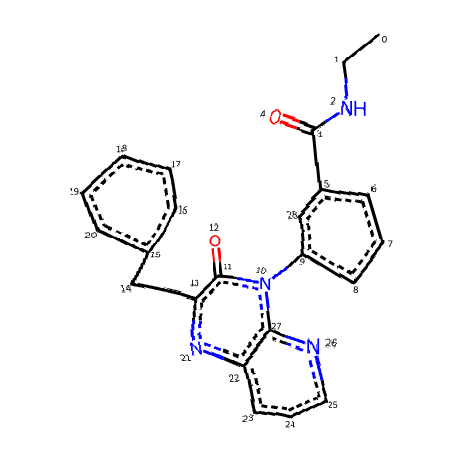 CCNC(=O)c1cccc(-n2c(=O)c(Cc3ccccc3)nc3cccnc32)c1